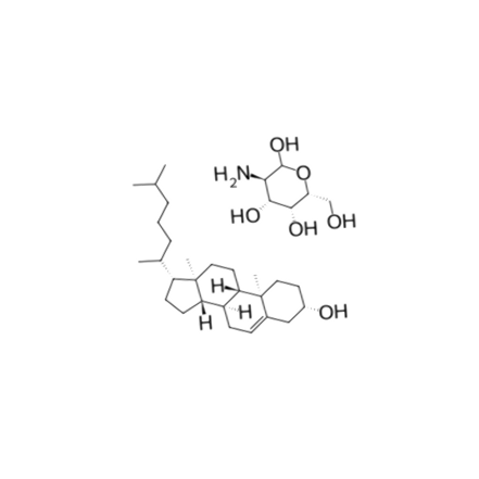 CC(C)CCCC(C)[C@H]1CC[C@H]2[C@@H]3CC=C4C[C@@H](O)CC[C@]4(C)[C@H]3CC[C@]12C.N[C@H]1C(O)O[C@H](CO)[C@H](O)[C@@H]1O